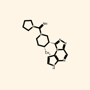 C[C@@H]1CCN(C(=N)N2CCCC2)C[C@@H]1c1nnc2cnc3[nH]ccc3n12